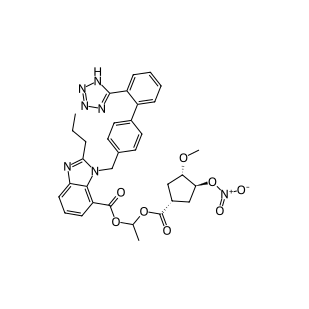 CCCc1nc2cccc(C(=O)OC(C)OC(=O)[C@@H]3C[C@H](OC)[C@@H](O[N+](=O)[O-])C3)c2n1Cc1ccc(-c2ccccc2-c2nnn[nH]2)cc1